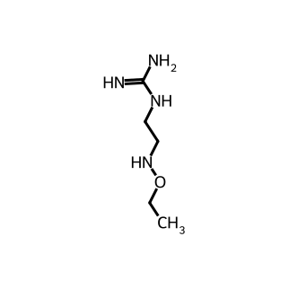 CCONCCNC(=N)N